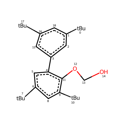 CC(C)(C)c1cc(-c2cc(C(C)(C)C)cc(C(C)(C)C)c2OCO)cc(C(C)(C)C)c1